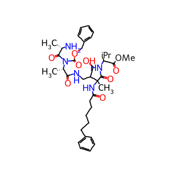 COC(=O)C(NC(=O)[C@](C)(NC(=O)CCCCCc1ccccc1)C(CO)CNC(=O)[C@H](C)N(C(=O)OCc1ccccc1)C(=O)[C@H](C)N)C(C)C